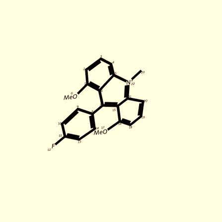 COc1cccc2c1c(-c1ccc(F)cc1)c1c(OC)cccc1[n+]2C